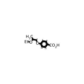 CCOC(C)COc1ccc(C(=O)O)cc1